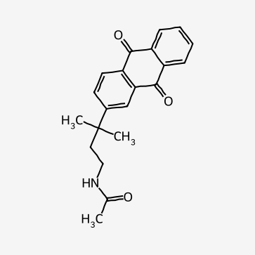 CC(=O)NCCC(C)(C)c1ccc2c(c1)C(=O)c1ccccc1C2=O